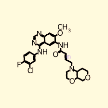 COc1cc2ncnc(Nc3ccc(F)c(Cl)c3)c2cc1NC(=O)/C=C/CN1CCOC2COCCC21